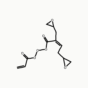 C=CC(=O)OOOC(=O)C(=CCC1CO1)CC1CO1